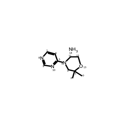 CC1(C)CN(c2ccncn2)CCO1.N